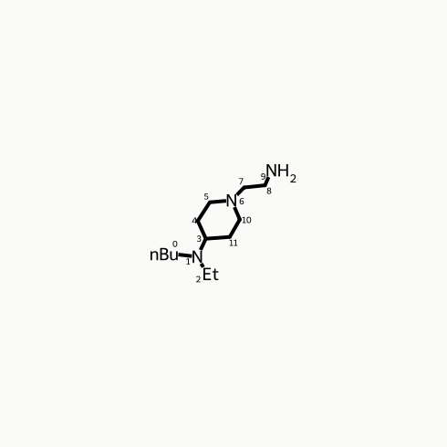 CCCCN(CC)C1CCN(CCN)CC1